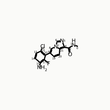 CNC(=O)c1ncn2cc(-c3c(Cl)ccc(N)c3F)ccc12